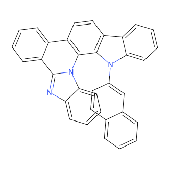 c1ccc2cc(-n3c4ccccc4c4ccc5c6ccccc6c6nc7ccccc7n6c5c43)ccc2c1